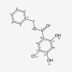 O=C(OCc1ccccc1)c1cc(Cl)c(O)cc1O